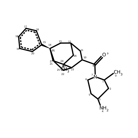 CC1CC(N)CCN1C(=O)C1CC2C[C@]3(c4ccccc4)CCC1[C@](C)(C2)C3